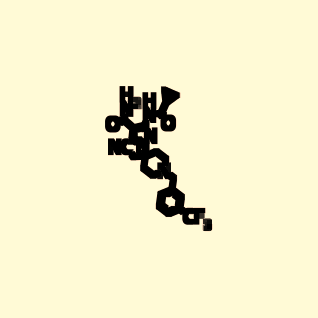 N#CCC1(n2cc(C(N)=O)c(NC(=O)C3CC3)n2)CCN(Cc2cccc(C(F)(F)F)c2)CC1